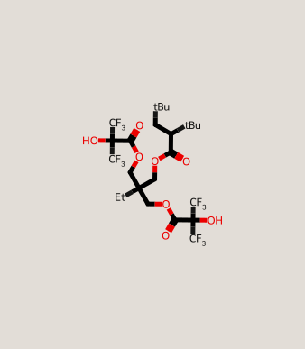 CCC(COC(=O)C(CC(C)(C)C)C(C)(C)C)(COC(=O)C(O)(C(F)(F)F)C(F)(F)F)COC(=O)C(O)(C(F)(F)F)C(F)(F)F